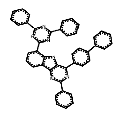 c1ccc(-c2ccc(-c3nc(-c4ccccc4)nc4c3sc3c(-c5nc(-c6ccccc6)nc(-c6ccccc6)n5)cccc34)cc2)cc1